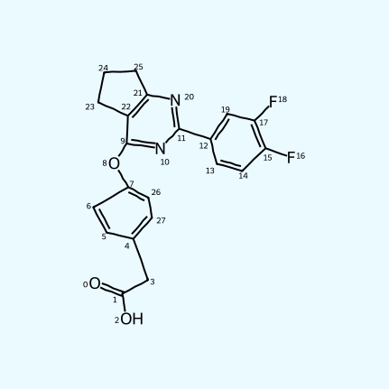 O=C(O)Cc1ccc(Oc2nc(-c3ccc(F)c(F)c3)nc3c2CCC3)cc1